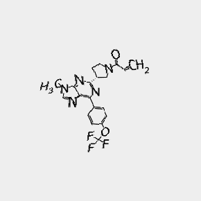 C=CC(=O)N1CC[C@@H](c2nc(-c3ccc(OC(F)(F)F)cc3)c3ncn(C)c3n2)C1